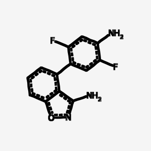 Nc1cc(F)c(-c2cccc3onc(N)c23)cc1F